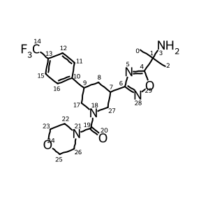 CC(C)(N)c1nc(C2CC(c3ccc(C(F)(F)F)cc3)CN(C(=O)N3CCOCC3)C2)no1